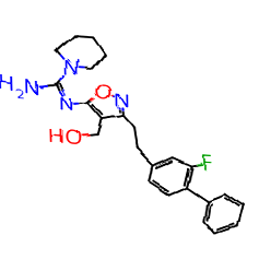 NC(=Nc1onc(CCc2ccc(-c3ccccc3)c(F)c2)c1CO)N1CCCCC1